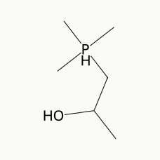 CC(O)C[PH](C)(C)C